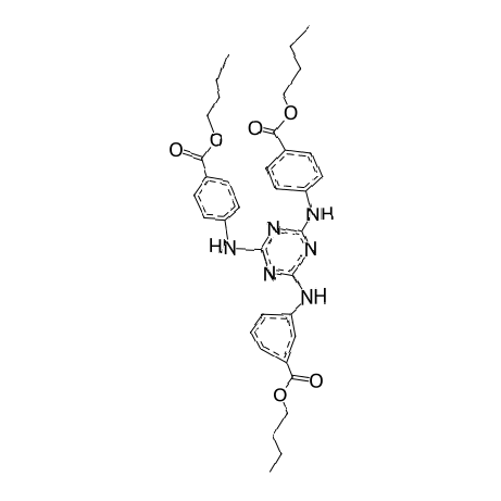 CCCCOC(=O)c1ccc(Nc2nc(Nc3ccc(C(=O)OCCCC)cc3)nc(Nc3cccc(C(=O)OCCCC)c3)n2)cc1